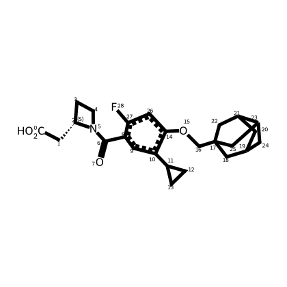 O=C(O)C[C@@H]1CCN1C(=O)c1cc(C2CC2)c(OCC23CC4CC(C2)C(C4)C3)cc1F